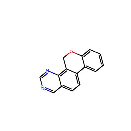 c1ccc2c(c1)OCc1c-2ccc2cncnc12